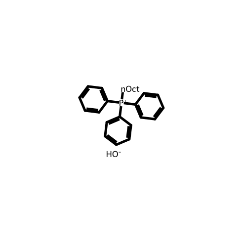 CCCCCCCC[P+](c1ccccc1)(c1ccccc1)c1ccccc1.[OH-]